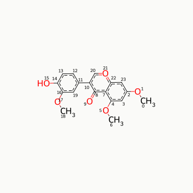 COc1cc(OC)c2c(=O)c(-c3ccc(O)c(OC)c3)coc2c1